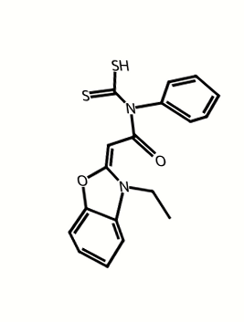 CCN1/C(=C\C(=O)N(C(=S)S)c2ccccc2)Oc2ccccc21